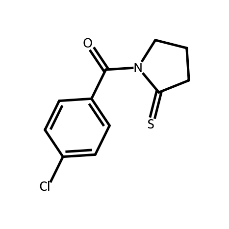 O=C(c1ccc(Cl)cc1)N1CCCC1=S